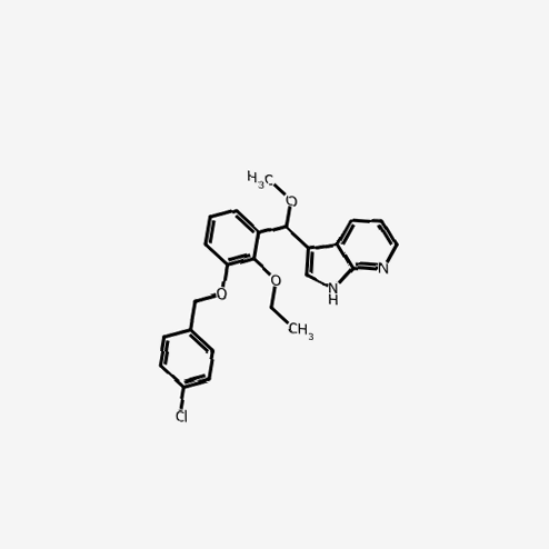 CCOc1c(OCc2ccc(Cl)cc2)cccc1C(OC)c1c[nH]c2ncccc12